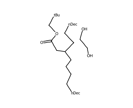 CCCCCCCCCCCCCCC(CCCCCCCCCCCC)CC(=O)OCC(C)(C)C.OCCO